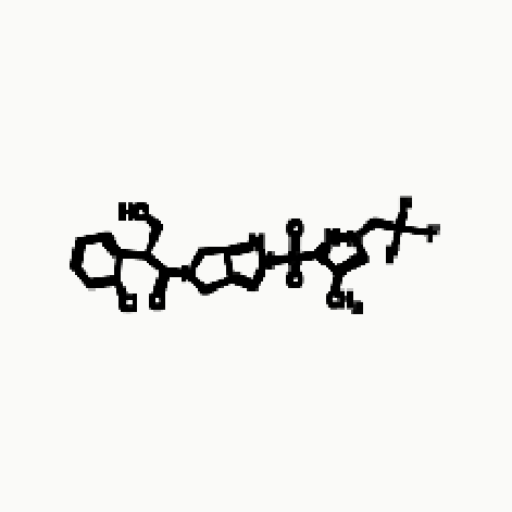 Cc1cn(CC(F)(F)F)nc1S(=O)(=O)n1cc2c(n1)CN(C(=O)[C@H](CO)c1ccccc1Cl)C2